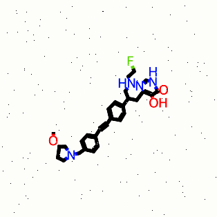 CO[C@H]1CCN(Cc2ccc(C#Cc3ccc(C(CNCCF)Cc4nc[nH]c(=O)c4O)cc3)cc2)C1